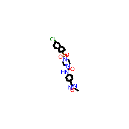 Cc1nc(-c2ccc(NC(=O)N3CCN(S(=O)(=O)c4ccc5cc(Cl)ccc5c4)CC3)cc2)no1